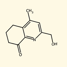 Cc1cc(CO)nc2c1CCCC2=O